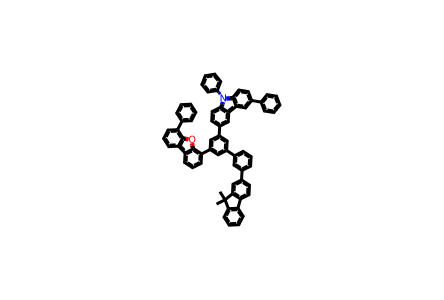 CC1(C)c2ccccc2-c2ccc(-c3cccc(-c4cc(-c5ccc6c(c5)c5cc(-c7ccccc7)ccc5n6-c5ccccc5)cc(-c5cccc6c5oc5c(-c7ccccc7)cccc56)c4)c3)cc21